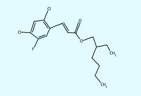 CCCCC(CC)COC(=O)C=Cc1cc(F)c(Cl)cc1Cl